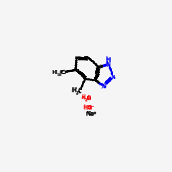 Cc1ccc2[nH]nnc2c1C.O.[Na+].[OH-]